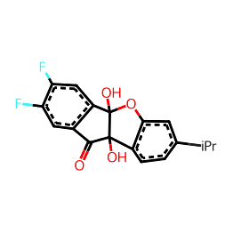 CC(C)c1ccc2c(c1)OC1(O)c3cc(F)c(F)cc3C(=O)C21O